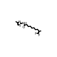 CC(CCCCCCCC(=O)Nc1nc(C)cs1)=C(F)F